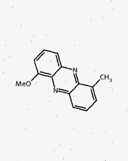 COc1cccc2nc3c(C)cccc3nc12